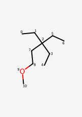 CCC(CC)(CC)CCOC